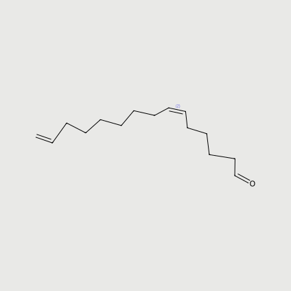 C=CCCCCCC/C=C\CCCCC=O